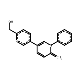 C=C1C=CC(c2ccc(CO)nc2)=CN1c1ccccc1